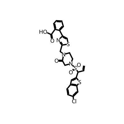 C=CC(c1cc2ccc(Cl)cc2s1)S(=O)(=O)N1CCN(Cc2nc(-c3ccccc3C(=O)O)cs2)C(=O)C1